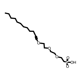 CCCCCCCCCCC#COCCOCCOCCS(=O)(=O)O